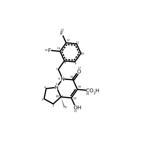 C[C@]12CCCN1N(Cc1cccc(F)c1F)C(=O)C(C(=O)O)=C2O